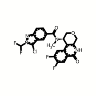 CN(C(=O)c1ccc2nn(C(F)F)c(Cl)c2c1)[C@H]1COCc2[nH]c(=O)c3cc(F)c(F)cc3c21